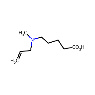 C=CCN(C)CCCCC(=O)O